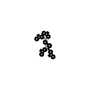 CC1(C)c2ccccc2-c2cc(N(c3ccc4sc5c(N(c6ccc7c(c6)-c6ccccc6C7(C)C)c6ccc7c(c6)C(C)(C)c6ccccc6-7)cccc5c4c3)c3cccc4c3-c3ccccc3C4(C)C)ccc21